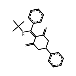 CC(C)(C)NC(=C1C(=O)CC(c2ccccc2)CC1=O)c1ccccc1